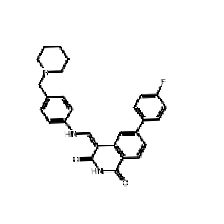 O=C1NC(=O)c2ccc(-c3ccc(F)cc3)cc2C1=CNc1ccc(CN2CCCCC2)cc1